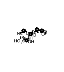 Cc1c(COc2cc(OCc3cccc(C#N)c3)c(CNC3C(O)CN(C(=O)O)[C@@H]3C(C)(C)C)cc2Cl)cccc1-c1ccc2c(c1)OCCO2